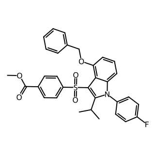 COC(=O)c1ccc(S(=O)(=O)c2c(C(C)C)n(-c3ccc(F)cc3)c3cccc(OCc4ccccc4)c23)cc1